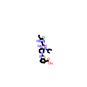 CCc1[nH]c(C(=O)N[C@H]2CCN(c3nc4cccc(C(=O)O)c4s3)C[C@@H]2NC(CC)CC)nc1Cl